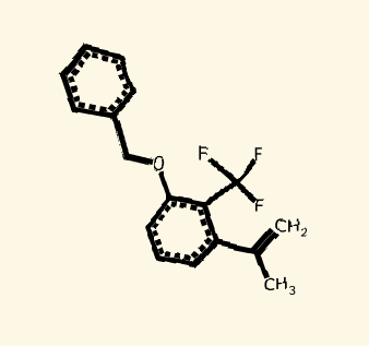 C=C(C)c1cccc(OCc2ccccc2)c1C(F)(F)F